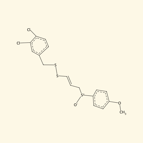 COc1ccc([S+]([O-])CC=CSSCc2ccc(Cl)c(Cl)c2)cc1